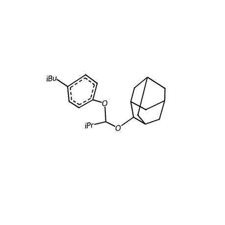 CCC(C)c1ccc(OC(OC2C3CC4CC(C3)CC2C4)C(C)C)cc1